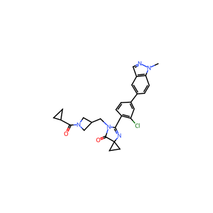 Cn1ncc2cc(-c3ccc(C4=NC5(CC5)C(=O)N4CC4CN(C(=O)C5CC5)C4)c(Cl)c3)ccc21